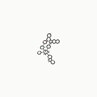 c1ccc(-c2nc(-c3ccc4c(c3)sc3ccccc34)nc(-c3ccc(-n4c5cc6ccccc6cc5c5c6ccccc6ccc54)cc3-c3ccccc3-c3ccccc3)n2)cc1